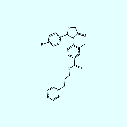 Cc1cc(C(=O)OCCCc2ccccn2)ccc1N1C(=O)CSC1c1ccc(F)cc1